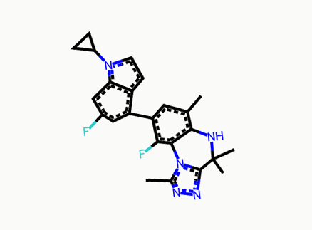 Cc1cc(-c2cc(F)cc3c2ccn3C2CC2)c(F)c2c1NC(C)(C)c1nnc(C)n1-2